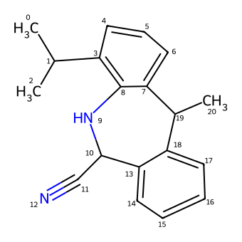 CC(C)c1cccc2c1NC(C#N)c1ccccc1C2C